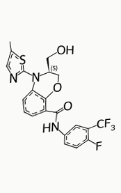 Cc1cnc(N2c3cccc(C(=O)Nc4ccc(F)c(C(F)(F)F)c4)c3OC[C@@H]2CO)s1